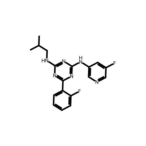 CC(C)CNc1nc(Nc2cncc(F)c2)nc(-c2ccccc2F)n1